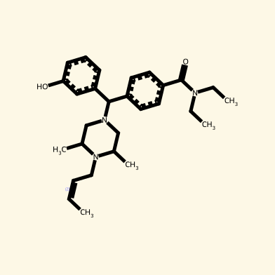 C/C=C\CN1C(C)CN(C(c2ccc(C(=O)N(CC)CC)cc2)c2cccc(O)c2)CC1C